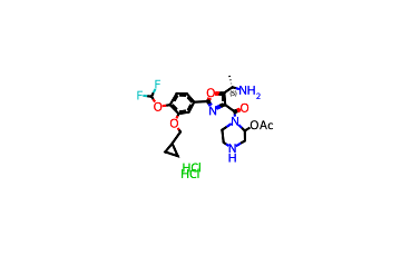 CC(=O)OC1CNCCN1C(=O)c1nc(-c2ccc(OC(F)F)c(OCC3CC3)c2)oc1[C@H](C)N.Cl.Cl